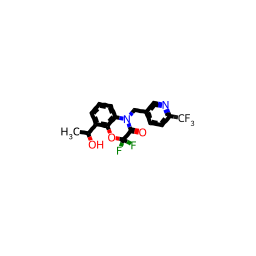 CC(O)c1cccc2c1OC(F)(F)C(=O)N2Cc1ccc(C(F)(F)F)nc1